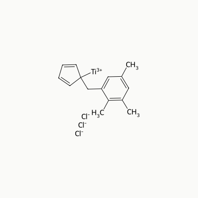 Cc1cc(C)c(C)c(C[C]2([Ti+3])C=CC=C2)c1.[Cl-].[Cl-].[Cl-]